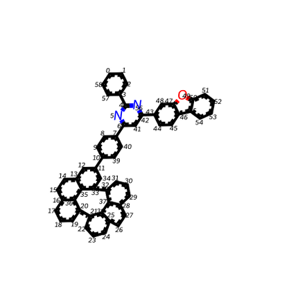 c1ccc(-c2nc(-c3ccc(-c4cc5ccc6cccc7c8cccc9ccc%10cccc(c(c4)c5c67)c%10c98)cc3)cc(-c3ccc4c(c3)oc3ccccc34)n2)cc1